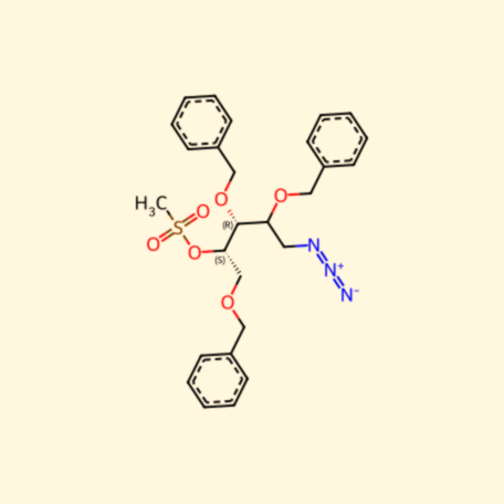 CS(=O)(=O)O[C@@H](COCc1ccccc1)[C@H](OCc1ccccc1)C(CN=[N+]=[N-])OCc1ccccc1